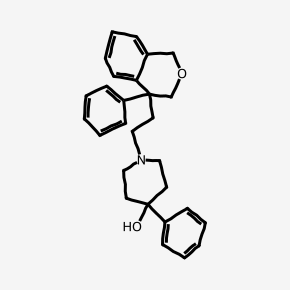 OC1(c2ccccc2)CCN(CCC2(c3ccccc3)COCc3ccccc32)CC1